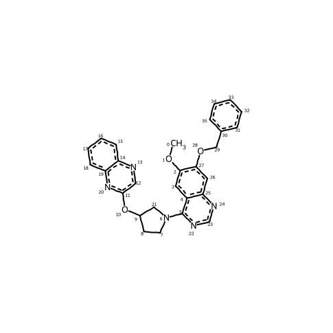 COc1cc2c(N3CCC(Oc4cnc5ccccc5n4)C3)ncnc2cc1OCc1ccccc1